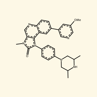 COc1cncc(-c2ccc3ncc4c(c3c2)n(-c2ccc(N3CC(C)NC(C)C3)cc2)c(=O)n4C)c1